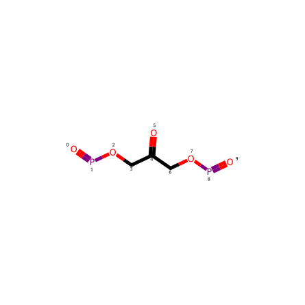 O=POCC(=O)COP=O